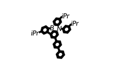 CC(C)c1cccc(N2c3cc(C(C)C)ccc3B3c4ccc(C(C)C)cc4-c4cc(-c5ccc(-c6ccccc6)cc5)cc2c43)c1